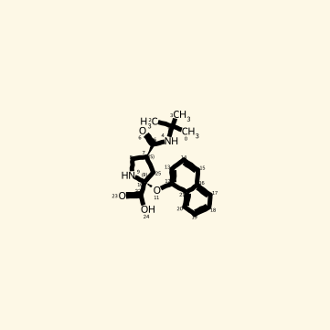 CC(C)(C)NC(=O)[C@@H]1CN[C@](Oc2cccc3ccccc23)(C(=O)O)C1